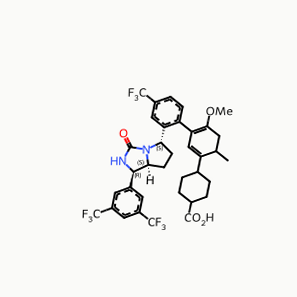 COC1=C(c2ccc(C(F)(F)F)cc2[C@@H]2CC[C@H]3[C@@H](c4cc(C(F)(F)F)cc(C(F)(F)F)c4)NC(=O)N23)C=C(C2CCC(C(=O)O)CC2)C(C)C1